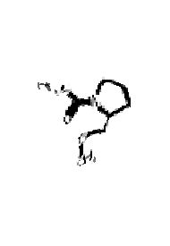 COC[C@@H]1CCCN1C(C)=O